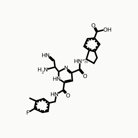 Cc1cc(CNC(=O)C2=CC(C(=O)N[C@H]3CCc4cc(C(=O)O)ccc43)=NC(C(N)C=N)N2)ccc1F